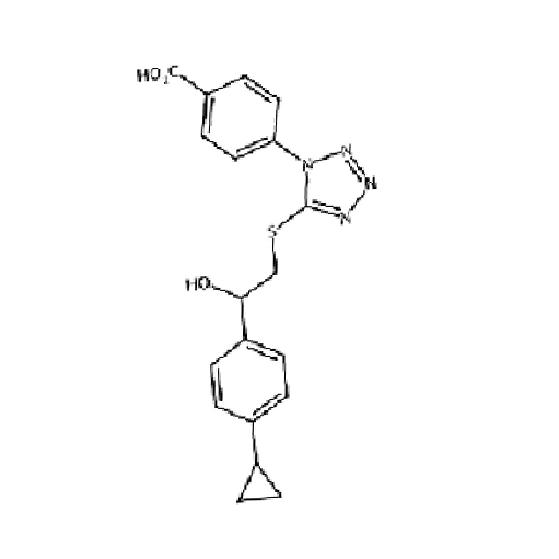 O=C(O)c1ccc(-n2nnnc2SCC(O)c2ccc(C3CC3)cc2)cc1